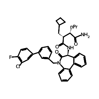 CCC[C@H](C(N)=O)[C@@H](CC1CCC1)C(=O)N[C@@H]1C(=O)N(Cc2cccc(-c3ccc(F)c(Cl)c3)c2)c2ccccc2-c2ccccc21